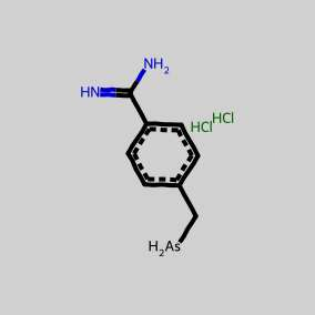 Cl.Cl.N=C(N)c1ccc(C[AsH2])cc1